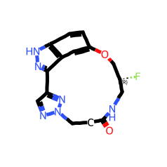 O=C1CCn2ncc(n2)-c2n[nH]c3ccc(cc23)OC[C@H](F)CN1